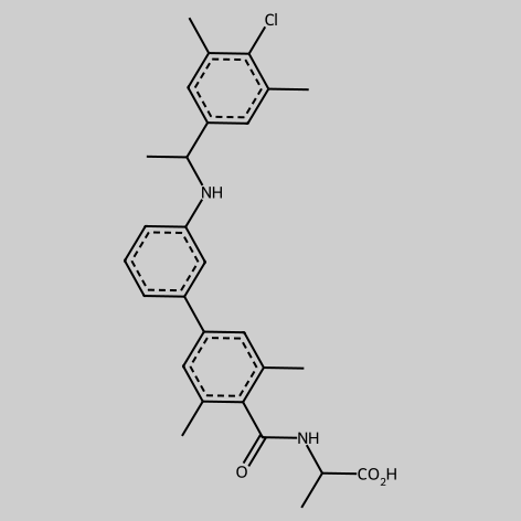 Cc1cc(C(C)Nc2cccc(-c3cc(C)c(C(=O)NC(C)C(=O)O)c(C)c3)c2)cc(C)c1Cl